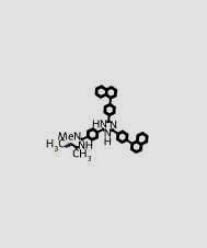 C/C=C/C(C)NC(NC)c1ccc(C2NC(c3ccc(-c4cccc5ccccc45)cc3)=NC(c3ccc(-c4cccc5ccccc45)cc3)N2)cc1